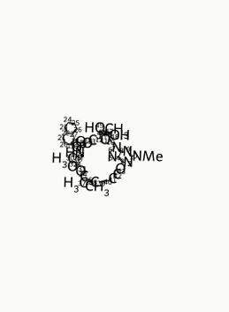 CNc1nc2c3ncn(c3n1)C1OC(COP(=O)(Oc3cccc4ccccc34)N[C@@H](C)C(=O)OCC(C)(C)CC=CCCO2)[C@@H](O)[C@@]1(C)O